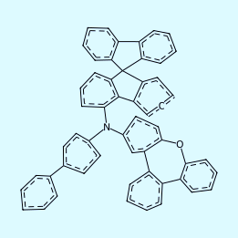 c1ccc(-c2ccc(N(c3ccc4c(c3)-c3ccccc3-c3ccccc3O4)c3cccc4c3-c3ccccc3C43c4ccccc4-c4ccccc43)cc2)cc1